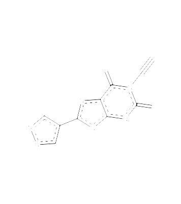 C#Cn1c(=O)[nH]c2nc(-c3cn[nH]c3)[nH]c2c1=O